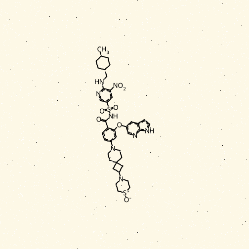 C[C@H]1CC[C@@H](CNc2ncc(S(=O)(=O)NC(=O)c3ccc(N4CCC5(CC4)CC(N4CC[S+]([O-])CC4)C5)cc3Oc3cnc4[nH]ccc4c3)cc2[N+](=O)[O-])CC1